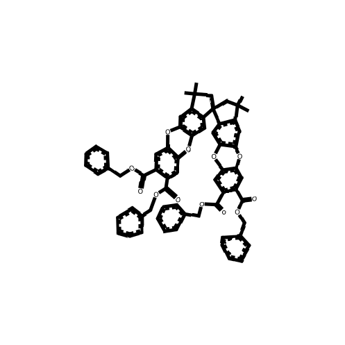 CC1(C)CC2(CC(C)(C)c3cc4c(cc32)Oc2cc(C(=O)OCc3ccccc3)c(C(=O)OCc3ccccc3)cc2O4)c2cc3c(cc21)Oc1cc(C(=O)OCc2ccccc2)c(C(=O)OCc2ccccc2)cc1O3